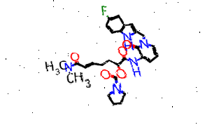 CN(C)C(=O)/C=C/CCC(OC(=O)N1CCCC1)C(=O)Nc1cccn(Cc2cc3cc(F)ccc3[nH]2)c1=O